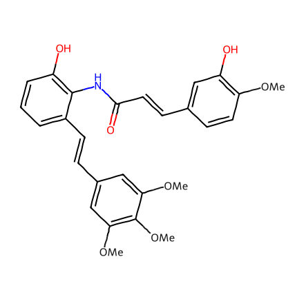 COc1ccc(/C=C/C(=O)Nc2c(O)cccc2C=Cc2cc(OC)c(OC)c(OC)c2)cc1O